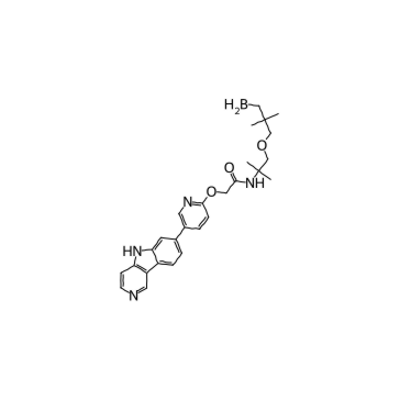 BCC(C)(C)COCC(C)(C)NC(=O)COc1ccc(-c2ccc3c(c2)[nH]c2ccncc23)cn1